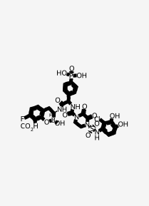 O=C(O)c1c(F)ccc2c1OB(O)[C@@H](NC(=O)C(NC(=O)N1CCN(S(=O)(=O)Nc3ccc(O)c(O)c3Cl)C(=O)C1=O)c1ccc(P(=O)(O)O)cc1)C2